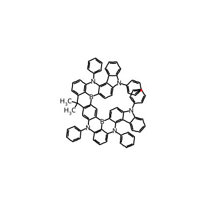 CC1(C)c2cc3c(cc2B2c4ccc5c(c4N(c4ccccc4)c4cccc1c42)c1ccccc1n5-c1ccccc1)B1c2ccc4c(c2N(c2ccccc2)c2cccc(c21)N3c1ccccc1)c1ccccc1n4-c1ccccc1